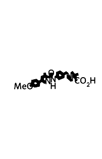 COc1ccc(-c2cnc(C(=O)Nc3ccc(CN4CCN(C(=O)O)C(C)C4)cc3)c(C)c2)cc1